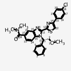 COC[C@H](c1ccccc1)n1c(-c2nc(-c3ccc(Cl)cc3)cs2)nc2cc(C(=O)N(C)C)ccc21